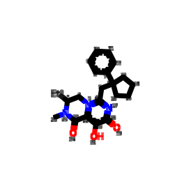 CCC1Cn2c(CC3(c4ccccc4)CCCC3)nc(=O)c(O)c2C(=O)N1C